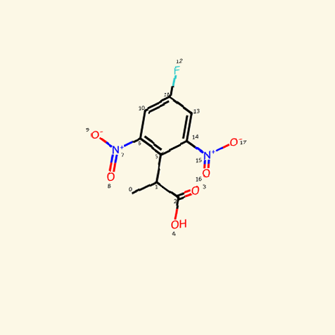 CC(C(=O)O)c1c([N+](=O)[O-])cc(F)cc1[N+](=O)[O-]